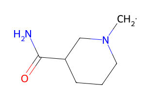 [CH2]N1CCCC(C(N)=O)C1